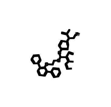 C=C/C(=C(C)/C=C\C)C(OCCOc1c(-c2ccccc2)cccc1-c1ccccc1)Oc1ccc(C(CC(C)C)C(=C)C)cc1